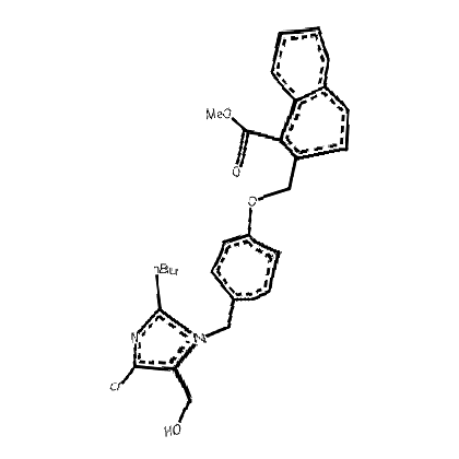 CCCCc1nc(Cl)c(CO)n1Cc1ccc(OCc2ccc3ccccc3c2C(=O)OC)cc1